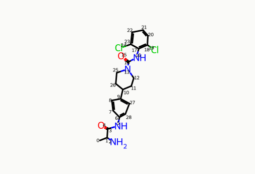 CC(N)C(=O)Nc1ccc(C2CCN(C(=O)Nc3c(Cl)cccc3Cl)CC2)cc1